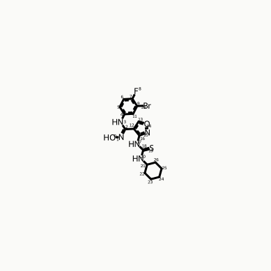 O/N=C(\Nc1ccc(F)c(Br)c1)c1conc1NC(=S)NC1CCCCC1